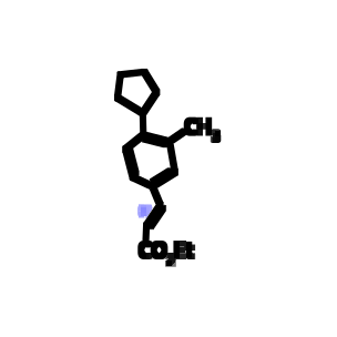 CCOC(=O)/C=C/c1ccc(C2CCCC2)c(C)c1